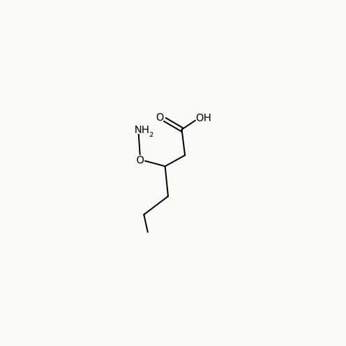 CCCC(CC(=O)O)ON